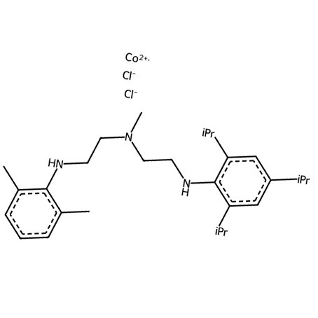 Cc1cccc(C)c1NCCN(C)CCNc1c(C(C)C)cc(C(C)C)cc1C(C)C.[Cl-].[Cl-].[Co+2]